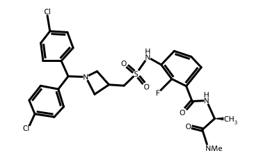 CNC(=O)[C@H](C)NC(=O)c1cccc(NS(=O)(=O)CC2CN(C(c3ccc(Cl)cc3)c3ccc(Cl)cc3)C2)c1F